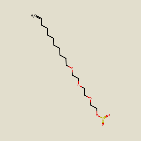 C=CCCCCCCCCCOCCOCCOCCO[SH](=O)=O